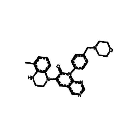 Cc1cccc2c1NCCN2c1cc2cncnc2n(-c2ccc(CN3CCOCC3)cc2)c1=O